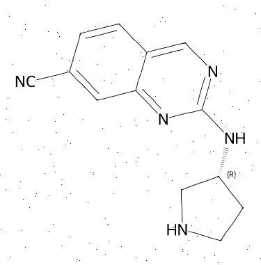 N#Cc1ccc2cnc(N[C@@H]3CCNC3)nc2c1